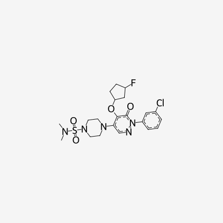 CN(C)S(=O)(=O)N1CCN(c2cnn(-c3cccc(Cl)c3)c(=O)c2OC2CCC(F)C2)CC1